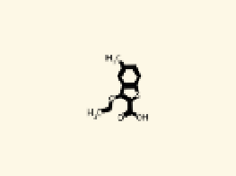 CCOc1c(C(=O)O)sc2ccc(C)cc12